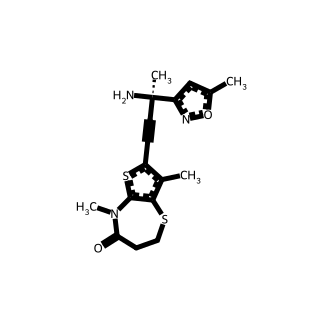 Cc1cc([C@](C)(N)C#Cc2sc3c(c2C)SCCC(=O)N3C)no1